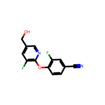 N#Cc1ccc(Oc2ncc(CO)cc2F)c(F)c1